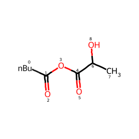 CCCCC(=O)OC(=O)C(C)O